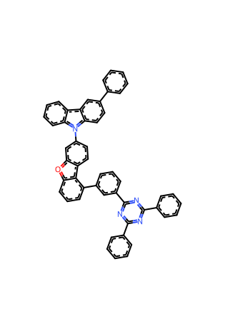 c1ccc(-c2ccc3c(c2)c2ccccc2n3-c2ccc3c(c2)oc2cccc(-c4cccc(-c5nc(-c6ccccc6)nc(-c6ccccc6)n5)c4)c23)cc1